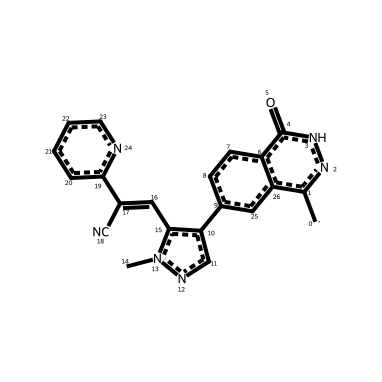 [CH2]c1n[nH]c(=O)c2ccc(-c3cnn(C)c3C=C(C#N)c3ccccn3)cc12